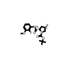 COc1cccc(NC(=O)[C@@H]2C[C@@H](F)CN2C(=O)OC(C)(C)C)c1F